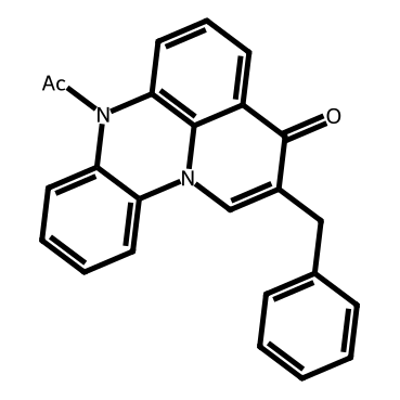 CC(=O)N1c2ccccc2-n2cc(Cc3ccccc3)c(=O)c3cccc1c32